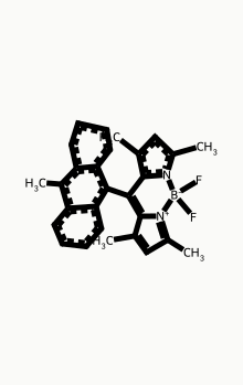 CC1=CC(C)=[N+]2C1=C(c1c3ccccc3c(C)c3ccccc13)c1c(C)cc(C)n1[B-]2(F)F